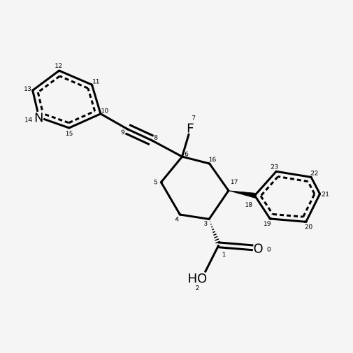 O=C(O)[C@@H]1CCC(F)(C#Cc2cccnc2)C[C@H]1c1ccccc1